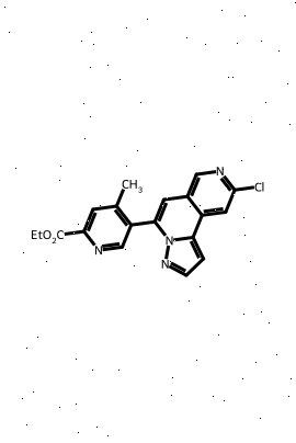 CCOC(=O)c1cc(C)c(-c2cc3cnc(Cl)cc3c3ccnn23)cn1